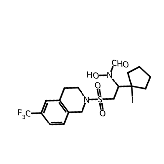 O=CN(O)C(CS(=O)(=O)N1CCc2cc(C(F)(F)F)ccc2C1)C1(I)CCCC1